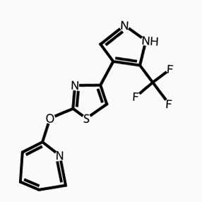 FC(F)(F)c1[nH]ncc1-c1csc(Oc2ccccn2)n1